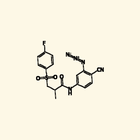 CC(CS(=O)(=O)c1ccc(F)cc1)C(=O)Nc1ccc(C#N)c(N=[N+]=[N-])c1